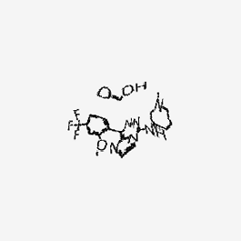 COc1cc(C(F)(F)F)ccc1-c1nnc(N[C@@H]2CCCN(C)C2)n2ccnc12.O=CO